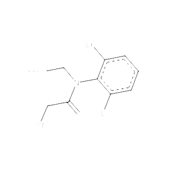 CCc1cccc(CC)c1N(CC=O)C(=O)CCl